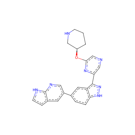 c1cc2cc(-c3ccc4[nH]nc(-c5cncc(O[C@@H]6CCCNC6)n5)c4c3)cnc2[nH]1